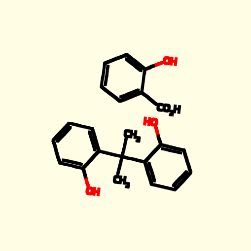 CC(C)(c1ccccc1O)c1ccccc1O.O=C(O)c1ccccc1O